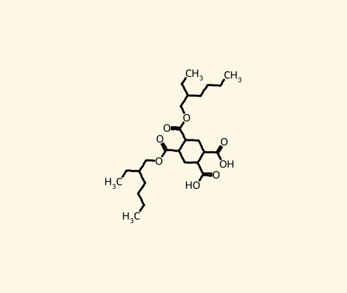 CCCCC(CC)COC(=O)C1CC(C(=O)O)C(C(=O)O)CC1C(=O)OCC(CC)CCCC